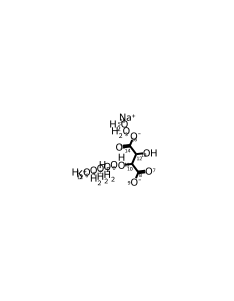 O.O.O.O.O.O.O.O=C([O-])C(O)C(O)C(=O)[O-].[K+].[Na+]